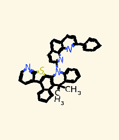 CC1(C)c2ccccc2N(c2ccc3ccc4ccc(-c5ccccc5)nc4c3n2)c2c1c1ccccc1c1c2sc2ncccc21